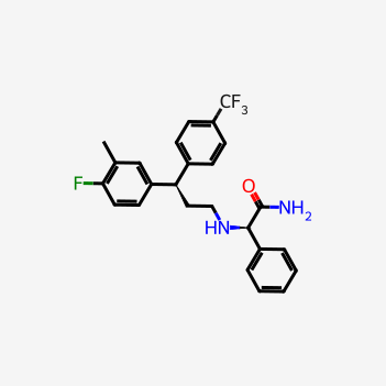 Cc1cc([C@H](CCN[C@@H](C(N)=O)c2ccccc2)c2ccc(C(F)(F)F)cc2)ccc1F